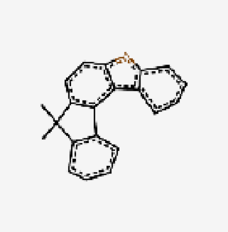 CC1(C)c2ccccc2-c2c1ccc1sc3ccccc3c21